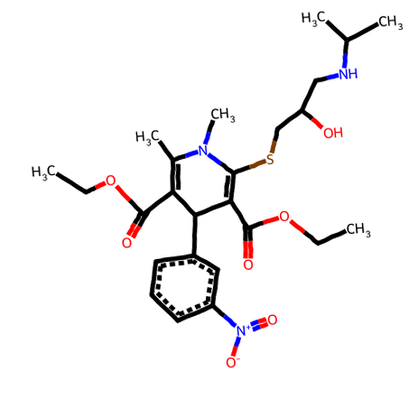 CCOC(=O)C1=C(C)N(C)C(SCC(O)CNC(C)C)=C(C(=O)OCC)C1c1cccc([N+](=O)[O-])c1